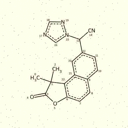 CC1(C)C(=O)Oc2ccc3ccc(C(C#N)n4cncn4)cc3c21